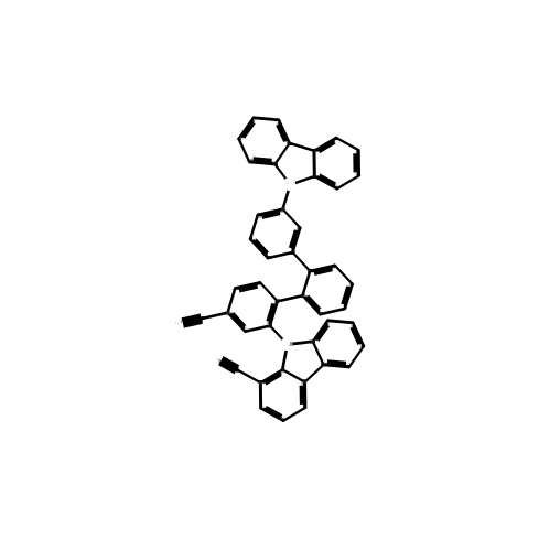 N#Cc1ccc(-c2ccccc2-c2cccc(-n3c4ccccc4c4ccccc43)c2)c(-n2c3ccccc3c3cccc(C#N)c32)c1